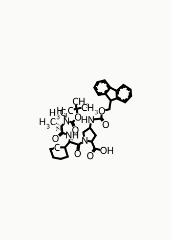 C[C@@H](C(=O)N[C@H](C(=O)N1CC(NC(=O)OCC2c3ccccc3-c3ccccc32)CC1C(=O)O)C1CCCCC1)N(C)C(=O)OC(C)(C)C